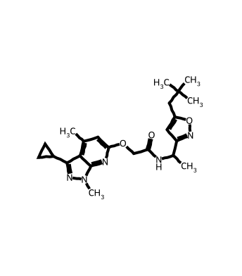 Cc1cc(OCC(=O)NC(C)c2cc(CC(C)(C)C)on2)nc2c1c(C1CC1)nn2C